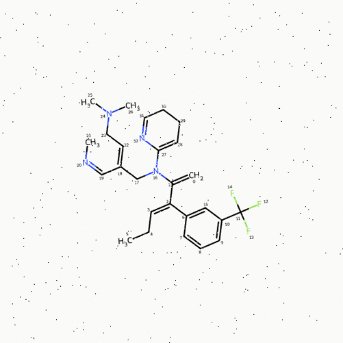 C=C(/C(=C/CC)c1cccc(C(F)(F)F)c1)N(CC(/C=N\C)=C/CN(C)C)C1=CCCC=N1